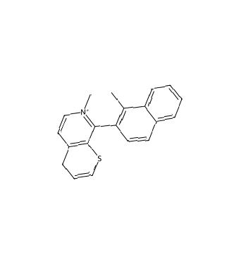 Cc1c(-c2c3c(cc[n+]2C)CC=CS3)ccc2ccccc12